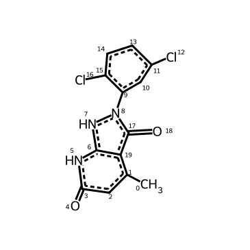 Cc1cc(=O)[nH]c2[nH]n(-c3cc(Cl)ccc3Cl)c(=O)c12